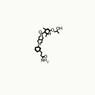 Cc1cc(OCC(C)O)nc(C)c1C(=O)N1CC2CN(c3cccc(CCC(N)=O)c3)CC2C1